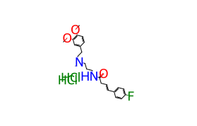 COc1ccc(CCN(C)CCCNC(=O)C/C=C/c2ccc(F)cc2)cc1OC.Cl.Cl